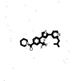 CC(C)Cc1cc(-c2cc(-c3ccc(C(=O)N4CCCCC4)cc3C(F)(F)F)cs2)ccn1